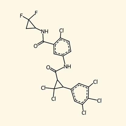 O=C(NC1CC1(F)F)c1cc(NC(=O)C2C(c3cc(Cl)c(Cl)c(Cl)c3)C2(Cl)Cl)ccc1Cl